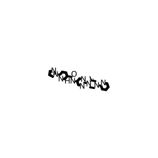 C[C@H]1CN(c2ccccn2)CCN1c1ncc(NC(=O)c2ccc(-n3cccn3)nc2)cn1